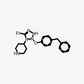 CCC1=NNN(Oc2ccc(Cc3ccccc3)cc2)N1C1CCNCC1